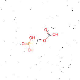 O=C(O)OCCP(=O)(O)O